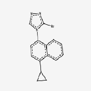 Brc1nncn1-c1ccc(C2CC2)c2ccccc12